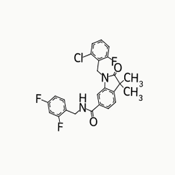 CC1(C)C(=O)N(Cc2c(F)cccc2Cl)c2cc(C(=O)NCc3ccc(F)cc3F)ccc21